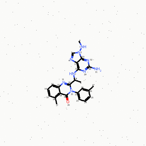 CNn1cnc2c(NC(C)c3nc4cccc(C)c4c(=O)n3-c3cccc(C)c3)nc(N)nc21